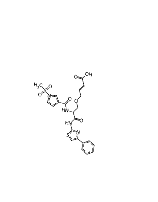 CS(=O)(=O)n1ccc(C(=O)NC(COC/C=C/C(=O)O)C(=O)Nc2nc(-c3ccccc3)cs2)c1